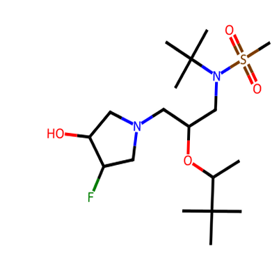 CC(OC(CN1CC(O)C(F)C1)CN(C(C)(C)C)S(C)(=O)=O)C(C)(C)C